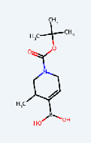 CC1CN(C(=O)OC(C)(C)C)CC=C1B(O)O